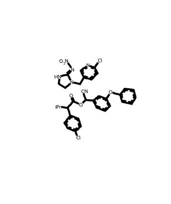 CC(C)C(C(=O)OC(C#N)c1cccc(Oc2ccccc2)c1)c1ccc(Cl)cc1.O=[N+]([O-])/N=C1\NCCN1Cc1ccc(Cl)nc1